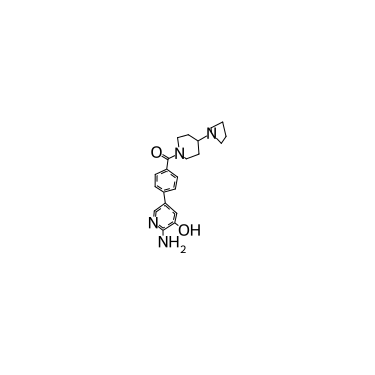 Nc1ncc(-c2ccc(C(=O)N3CCC(N4CCCC4)CC3)cc2)cc1O